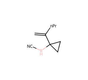 C=C(CCC)C1(BC#N)CC1